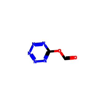 O=COc1nnnnn1